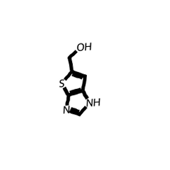 OCc1cc2[nH]cnc2s1